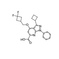 O=C(O)c1cc(OCC2CC(F)(F)C2)c2c(C3CCC3)nn(-c3ccccc3)c2n1